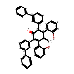 CC1C(c2ccccc2Br)=C(c2cccc(-c3ccccc3)c2)C(=O)C(c2cccc(-c3ccccc3)c2)C1c1ccccc1Br